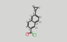 O=C(Cl)c1ccc2cc(C3CC3)ccc2c1